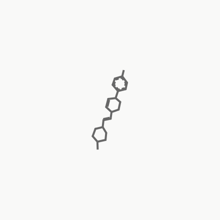 Cc1ccc(C2C=CC(/C=C/C3CCC(C)CC3)CC2)cc1